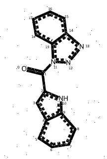 O=C(c1cc2ccccc2[nH]1)n1nnc2ccccc21